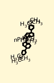 CCC[C](CCC)=[Hf]([CH3])([CH3])([CH]1C=Cc2c(-c3ccc([Si](C)(C)C)cc3)cccc21)[CH]1C=Cc2c(-c3ccc([Si](C)(C)C)cc3)cccc21